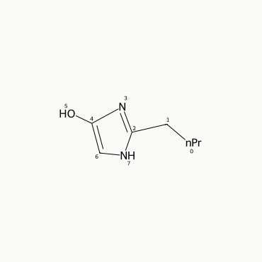 CCCCc1nc(O)c[nH]1